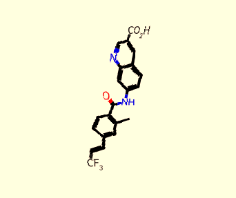 Cc1cc(C=CC(F)(F)F)ccc1C(=O)Nc1ccc2cc(C(=O)O)cnc2c1